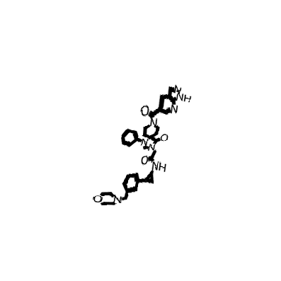 O=C(CN1CN(c2ccccc2)C2(CCN(C(=O)c3cnc4[nH]ncc4c3)CC2)C1=O)NC1CC1c1cccc(CN2CCOCC2)c1